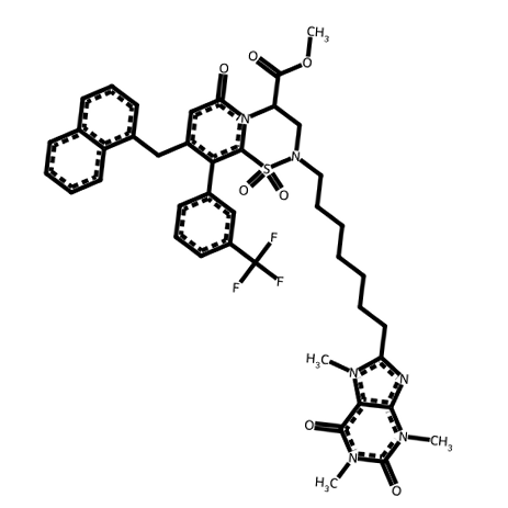 COC(=O)C1CN(CCCCCCCc2nc3c(c(=O)n(C)c(=O)n3C)n2C)S(=O)(=O)c2c(-c3cccc(C(F)(F)F)c3)c(Cc3cccc4ccccc34)cc(=O)n21